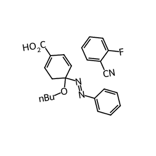 CCCCOC1(N=Nc2ccccc2)C=CC(C(=O)O)=CC1.N#Cc1ccccc1F